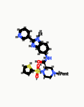 CCCCCN1CCN(S(=O)(=O)c2cccs2)[C@H](C(=O)Nc2ccc3c(c2)nc(-c2cccnc2)n3CC)C1